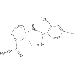 COC(=O)c1cccc(NC(O)c2ccc(F)cc2Cl)c1F